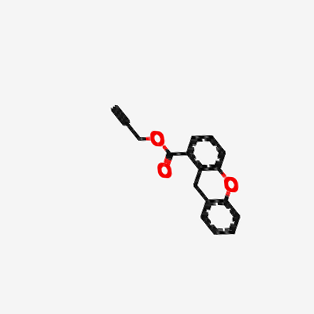 C#CCOC(=O)c1cccc2c1Cc1ccccc1O2